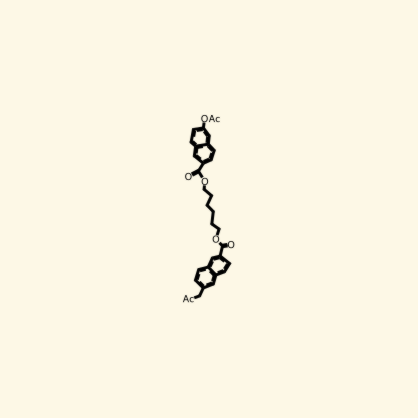 CC(=O)Cc1ccc2cc(C(=O)OCCCCCCOC(=O)c3ccc4cc(OC(C)=O)ccc4c3)ccc2c1